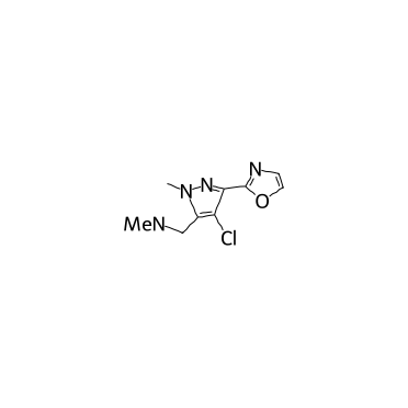 CNCc1c(Cl)c(-c2ncco2)nn1C